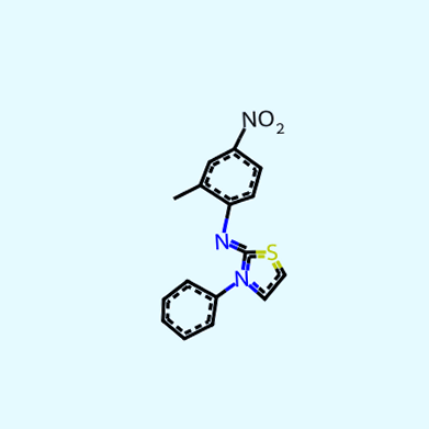 Cc1cc([N+](=O)[O-])ccc1N=c1sccn1-c1ccccc1